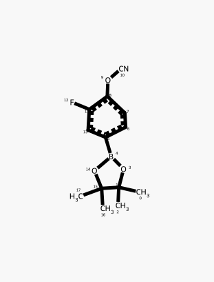 CC1(C)OB(c2ccc(OC#N)c(F)c2)OC1(C)C